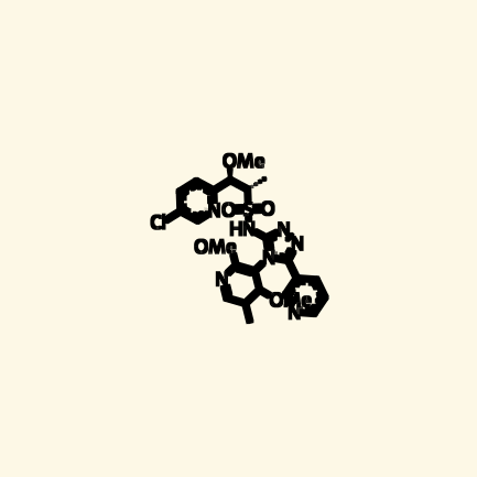 COC1=C(n2c(NS(=O)(=O)[C@@H](C)[C@H](OC)c3ccc(Cl)cn3)nnc2-c2cccnc2)C(OC)C(C)C=N1